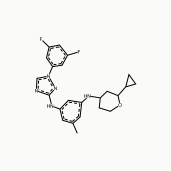 Cc1cc(Nc2ncn(-c3cc(F)cc(F)c3)n2)cc(NC2CCOC(C3CC3)C2)c1